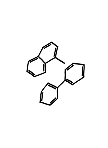 Cc1cccc2ccccc12.c1ccc(-c2ccccc2)cc1